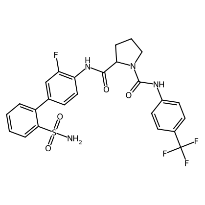 NS(=O)(=O)c1ccccc1-c1ccc(NC(=O)C2CCCN2C(=O)Nc2ccc(C(F)(F)F)cc2)c(F)c1